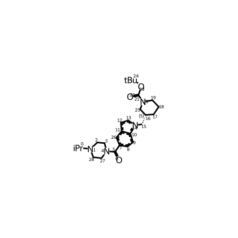 CC(C)N1CCN(C(=O)c2ccc3c(ccn3C[C@H]3CCCN(C(=O)OC(C)(C)C)C3)c2)CC1